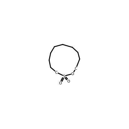 O=S1(=O)CCCCCCCCCCO1